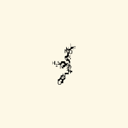 CN(CCN1CC2COCC2C1)SON(Cc1ncc(-c2nnc(C(F)F)o2)s1)c1cccnc1.S